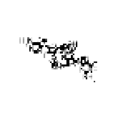 CC(C)(C)[Si](C)(C)OC1C2COP(O)(=S)OC3C(COP(O)(=S)OC1C(n1cnc4c(=O)[nH]c(N)nc41)O2)OC(n1cnc2c(N)ncnc21)C3F